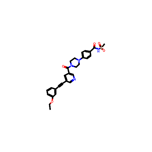 CCOc1cccc(C#Cc2cncc(C(=O)N3CCN(c4ccc(C(=O)NS(C)(=O)=O)cc4)CC3)c2)c1